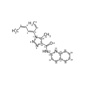 C=C/C(=C\C=C/C)n1nnc(C(=O)Nc2ccc3ccccc3n2)c1C